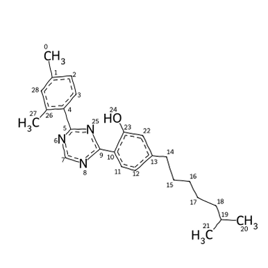 Cc1ccc(-c2ncnc(-c3ccc(CCCCCC(C)C)cc3O)n2)c(C)c1